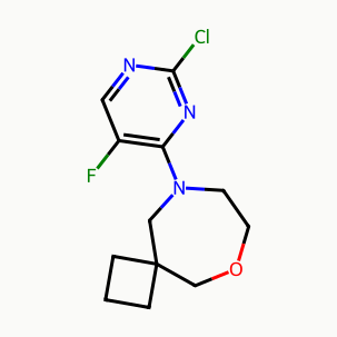 Fc1cnc(Cl)nc1N1CCOCC2(CCC2)C1